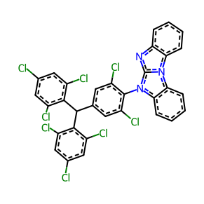 Clc1cc(Cl)c(C(c2cc(Cl)c(-n3c4ccccc4n4c5ccccc5nc34)c(Cl)c2)c2c(Cl)cc(Cl)cc2Cl)c(Cl)c1